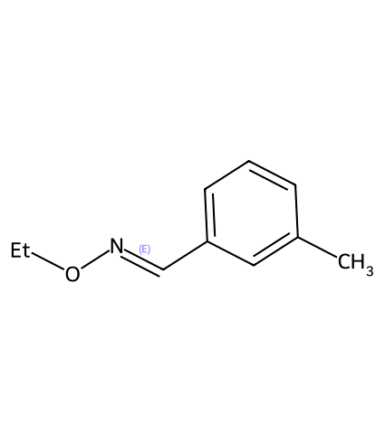 CCO/N=C/c1cccc(C)c1